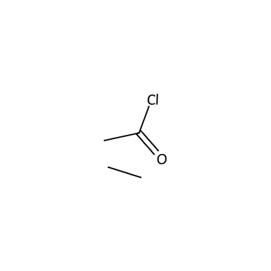 CC.CC(=O)Cl